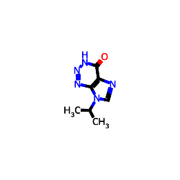 CC(C)n1cnc2c(=O)[nH]nnc21